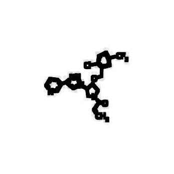 C=CC(=O)N1CC(OCc2cc(C(F)(F)F)ccc2Cl)C(n2cc(-c3cccnc3)nn2)C1